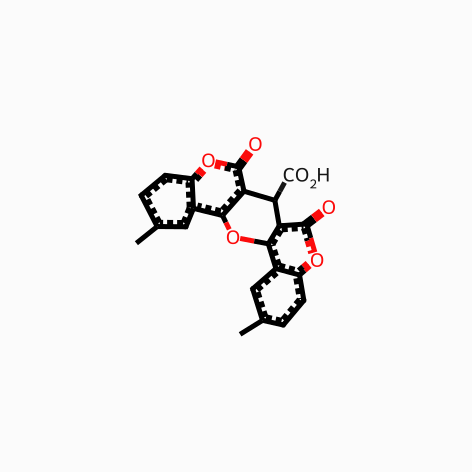 Cc1ccc2oc(=O)c3c(c2c1)Oc1c(c(=O)oc2ccc(C)cc12)C3C(=O)O